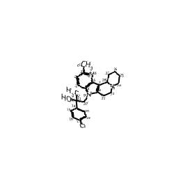 Cc1ccc2c(n1)c1c(n2CC(C)(O)c2ccc(Cl)cc2)CCN2CCCCC12